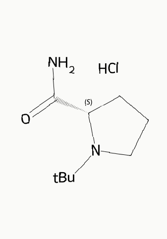 CC(C)(C)N1CCC[C@H]1C(N)=O.Cl